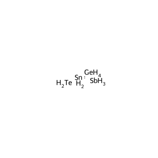 [GeH4].[SbH3].[SnH2].[TeH2]